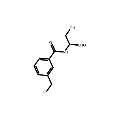 CC(C)Cc1cccc(C(=O)N[C@H](C=O)CO)c1